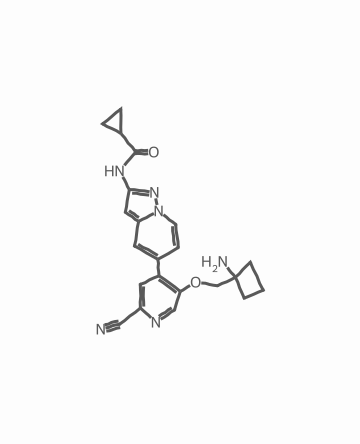 N#Cc1cc(-c2ccn3nc(NC(=O)C4CC4)cc3c2)c(OCC2(N)CCC2)cn1